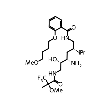 COCCCCOc1ccccc1C(=O)NC[C@@H](C[C@H](N)[C@@H](O)CNC(=O)[C@@](C)(OC)C(F)(F)F)C(C)C